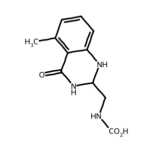 Cc1cccc2c1C(=O)NC(CNC(=O)O)N2